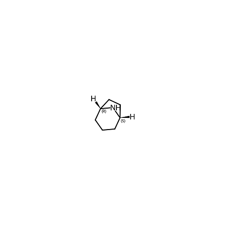 C1C[C@@H]2CC[C@H](C1)N2